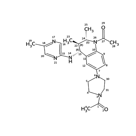 CC(=O)N1CCN(c2ccc3c(c2)[C@H](Nc2cnc(C)cn2)[C@@H](C)[C@H](C)N3C(C)=O)CC1